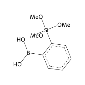 CO[Si](OC)(OC)c1ccccc1B(O)O